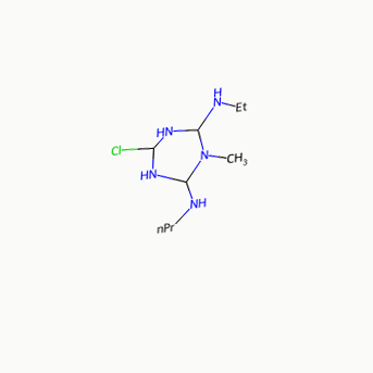 CCCNC1NC(Cl)NC(NCC)N1C